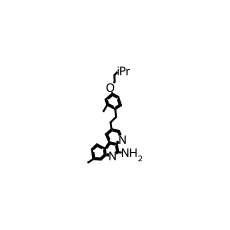 Cc1ccc2c(c1)nc(N)c1ncc(CCc3ccc(OCCC(C)C)cc3C)cc12